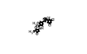 Cc1cc(C2=NOC(c3cc(Cl)cc(Cl)c3)(C(F)(F)F)C2)ccc1C(=O)N[C@@H]1CC(=O)N(C)C1=O